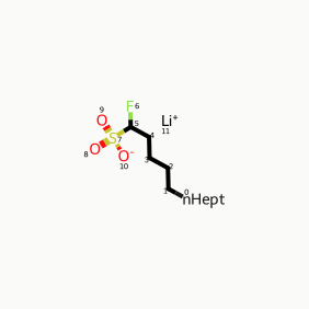 CCCCCCCCCCCC(F)S(=O)(=O)[O-].[Li+]